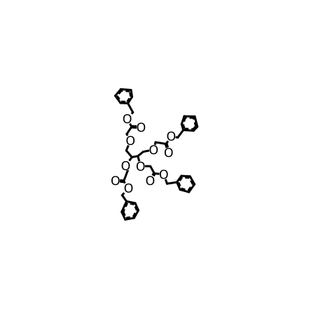 O=C(COCC(OCC(=O)OCc1ccccc1)C(COCC(=O)OCc1ccccc1)OCC(=O)OCc1ccccc1)OCc1ccccc1